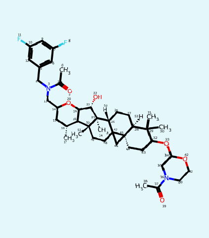 CC(=O)N(Cc1cc(F)cc(F)c1)CC1C[C@@H](C)C2C(O1)[C@H](O)[C@@]1(C)[C@@H]3CC[C@H]4C(C)(C)C(OC5CN(C(C)=O)CCO5)CC[C@@]45CC35CC[C@]21C